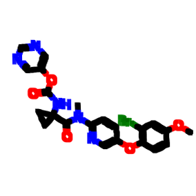 COc1ccc(Oc2ccc(N(C)C(=O)C3(NC(=O)Oc4cncnc4)CC3)nc2)c(Br)c1